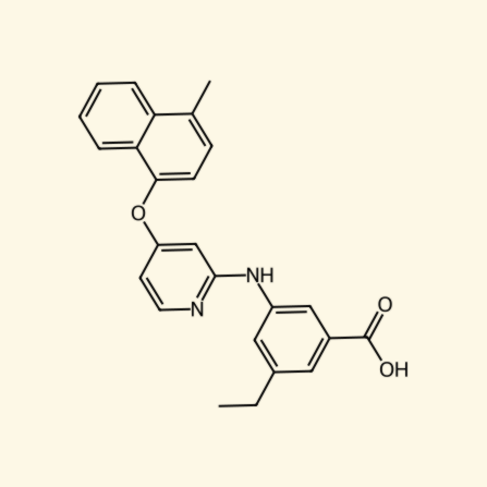 CCc1cc(Nc2cc(Oc3ccc(C)c4ccccc34)ccn2)cc(C(=O)O)c1